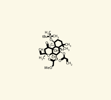 C=CC(=O)O[C@H]1[C@H]2C(C)(C)CC[C@H](O[Si](C)(C)C(C)(C)C)[C@]2(C)[C@@]2(O)C(=O)C[C@](C)(C=C)O[C@]2(C)[C@H]1OC(=O)COC